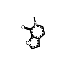 Cn1ccc2ccoc2c1=O